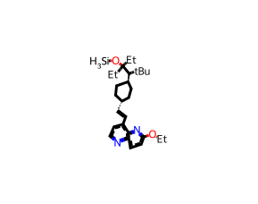 CCOc1ccc2nccc(C=C[C@H]3CC[C@H](C(C(C)(C)C)C(CC)(CC)O[SiH3])CC3)c2n1